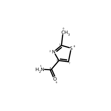 Cc1nc(C(N)=O)cs1